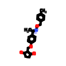 C/C(=N\OCc1ccc(C)cc1)c1ccc(OCC2C(=O)CCC2=O)cc1